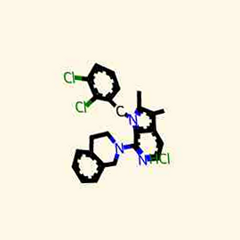 Cc1c(C)n(Cc2cccc(Cl)c2Cl)c2c(N3CCc4ccccc4C3)nccc12.Cl